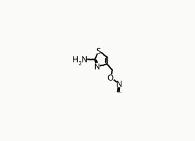 [CH]=NOCc1csc(N)n1